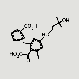 CC(C)(O)CCO.Cc1cc(C)c(C(=O)C(=O)O)c(C)c1.O=C(O)c1ccccc1